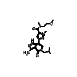 COCCN(C)C(=O)c1cc(-c2cn(CC(C)C)c(=O)c3c(N)n[nH]c23)nn1C